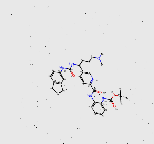 CN(C)CCCC(NC(=O)Nc1ccc2c(c1)CCC2)c1ccc(C(=O)Nc2ccccc2NC(=O)OC(C)(C)C)nc1